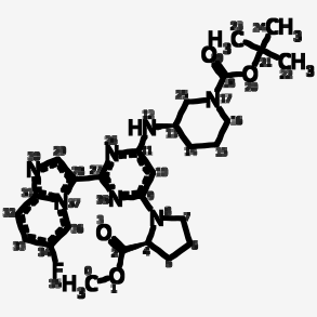 COC(=O)[C@@H]1CCCN1c1cc(N[C@@H]2CCCN(C(=O)OC(C)(C)C)C2)nc(-c2cnc3ccc(F)cn23)n1